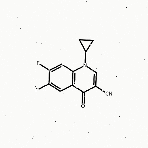 N#Cc1cn(C2CC2)c2cc(F)c(F)cc2c1=O